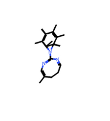 CC1=C(C)C2(C)N(C3=N/C=C(/C)CC/C=N\3)C2(C)C(C)=C1C